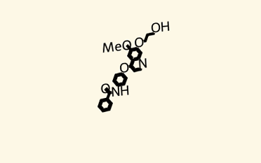 COc1cc2c(Oc3ccc(NC(=O)c4ccccc4)cc3)ccnc2cc1OCCCO